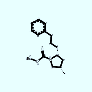 C[C@H]1C[C@@H](CCCc2ccccc2)N(C(=O)OC(C)(C)C)C1